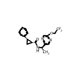 C[C@@H](NC(=O)[C@@H]1C[C@H]1c1ccccc1)c1cnc(OCC(F)(F)F)cn1